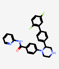 O=C(Nc1ccccn1)c1ccc(N2CCNCC2c2ccc(-c3cc(F)ccc3F)cc2)cc1